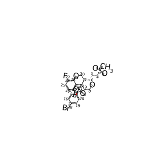 CS(=O)(=O)CC[C@@H]1OCC[C@@]2(S(=O)(=O)c3ccc(Br)cc3)c3c(F)ccc(F)c3OCC12